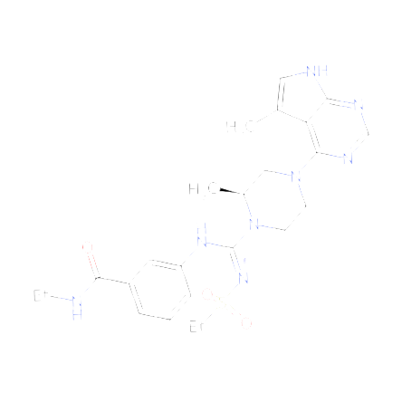 CCNC(=O)c1cccc(N/C(=N\S(=O)(=O)CC)N2CCN(c3ncnc4[nH]cc(C)c34)C[C@@H]2C)c1